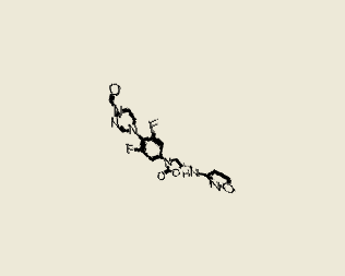 O=CN1CCN(c2c(F)cc(N3C[C@H](CNc4ccon4)OC3=O)cc2F)C=N1